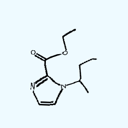 CCOC(=O)c1nccn1C(C)CC